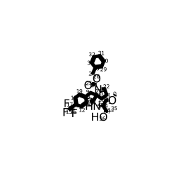 COC(=O)[C@H](NC(=O)C1(Cc2ccc(C(F)(F)F)cc2)CCCN1C(=O)OCc1ccccc1)[C@H](C)O